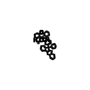 CC1(C)c2ccccc2Oc2cccc(-c3ccc(C4(c5ccccc5)C5=C(CC6C=CC=CC6=C5)c5ccccc54)cc3)c21